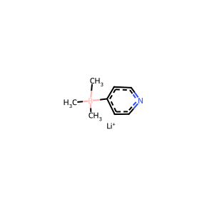 C[B-](C)(C)c1ccncc1.[Li+]